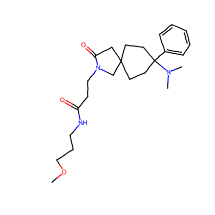 COCCCNC(=O)CCN1CC2(CCC(c3ccccc3)(N(C)C)CC2)CC1=O